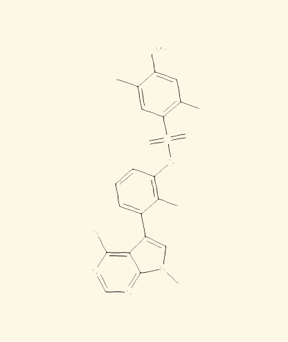 COc1cc(F)c(S(=O)(=O)Nc2cccc(-c3cn(C(C)C)c4ncnc(N)c34)c2F)cc1Cl